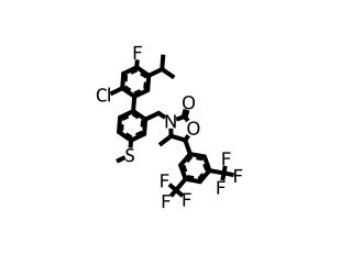 CSc1ccc(-c2cc(C(C)C)c(F)cc2Cl)c(CN2C(=O)OC(c3cc(C(F)(F)F)cc(C(F)(F)F)c3)C2C)c1